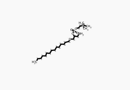 CCCCCCCCCCCCCCCOCC(CN)OP(=O)([O-])OCC[N+](C)(C)C